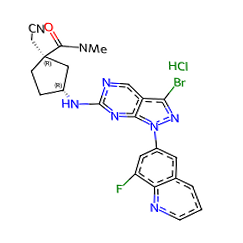 CNC(=O)[C@]1(CC#N)CC[C@@H](Nc2ncc3c(Br)nn(-c4cc(F)c5ncccc5c4)c3n2)C1.Cl